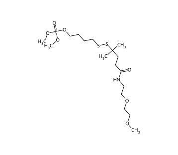 COCCOCCNC(=O)CCC(C)(C)SSCCCCOP(=O)(OC)OC